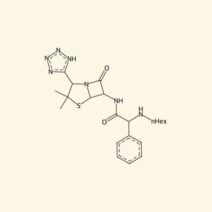 CCCCCCNC(C(=O)NC1C(=O)N2C1SC(C)(C)C2c1nnn[nH]1)c1ccccc1